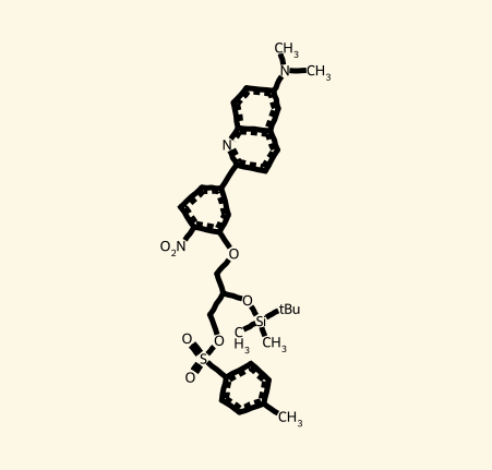 Cc1ccc(S(=O)(=O)OCC(COc2cc(-c3ccc4cc(N(C)C)ccc4n3)ccc2[N+](=O)[O-])O[Si](C)(C)C(C)(C)C)cc1